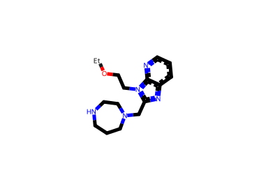 CCOCCn1c(CN2CCCNCC2)nc2cccnc21